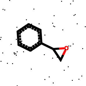 [CH]1OC1c1ccccc1